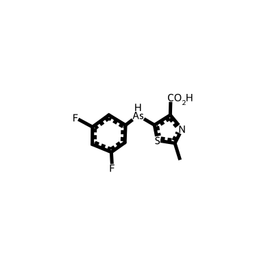 Cc1nc(C(=O)O)c([AsH]c2cc(F)cc(F)c2)s1